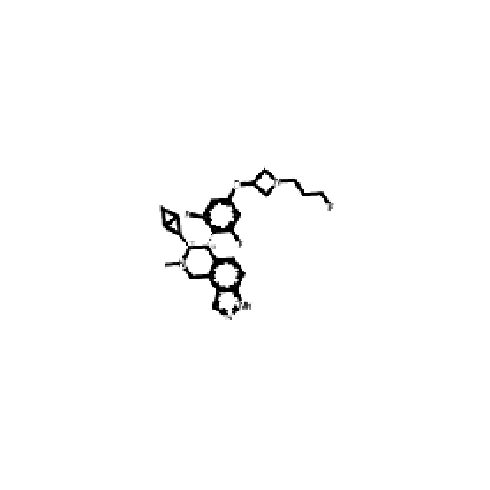 CN1Cc2c(ccc3[nH]ncc23)[C@@H](c2c(F)cc(OC3CN(CCCF)C3)cc2F)[C@@H]1C1C2CC21